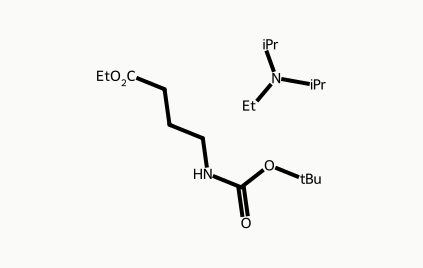 CCN(C(C)C)C(C)C.CCOC(=O)CCCNC(=O)OC(C)(C)C